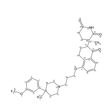 CC1(c2cccc(OC(F)(F)F)c2)CCN(CCCOc2cccc3c2CCC([C@@]2(C)CCC(=O)NC2=O)C3=O)CC1